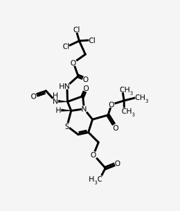 CC(=O)OCC1=CS[C@H]2N(C(=O)[C@@]2(NC=O)NC(=O)OCC(Cl)(Cl)Cl)C1C(=O)OC(C)(C)C